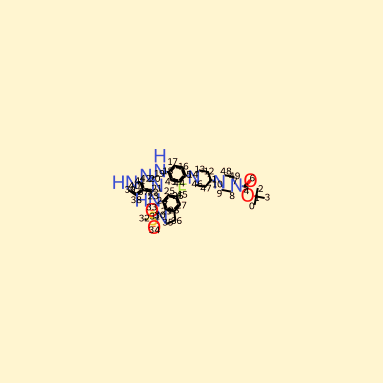 CC(C)(C)OC(=O)N1CCN(C2CCN(c3ccc(Nc4nc(Nc5cccc6c5N(S(C)(=O)=O)CC6)c5cc[nH]c5n4)cc3F)CC2)CC1